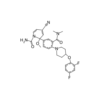 COC1(c2ccc(N3CCC(Oc4ccc(F)cc4F)CC3)c(C(=O)N(C)C)c2)C=C(C#N)C=CN1C(N)=O